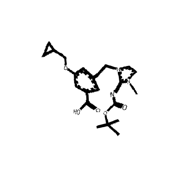 Cn1ccn(Cc2cc(OCC3CC3)cc(C(=O)O)c2)c1=NC(=O)OC(C)(C)C